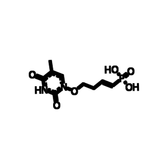 Cc1cn(OCCC=CP(=O)(O)O)c(=O)[nH]c1=O